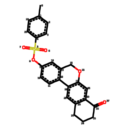 Cc1ccc(S(=O)(=O)Oc2ccc3c(c2)COc2cc4c(cc2-3)CCCC4=O)cc1